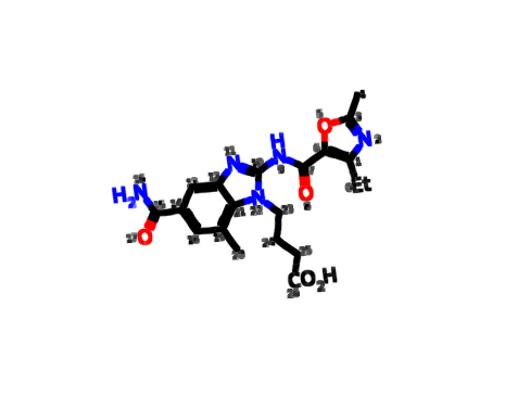 CCc1nc(C)oc1C(=O)Nc1nc2cc(C(N)=O)cc(C)c2n1CCCC(=O)O